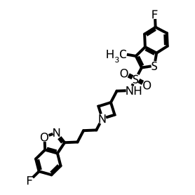 Cc1c(S(=O)(=O)NCC2CN(CCCc3noc4cc(F)ccc34)C2)sc2ccc(F)cc12